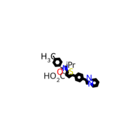 CC(C)N(c1sc(-c2ccc(-c3cn4ccccc4n3)cc2)cc1C(=O)O)C(=O)[C@H]1CC[C@H](C)CC1